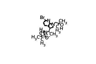 C[C@@H](N[S@@+]([O-])C(C)(C)C)c1cn(CC(C)(C)O)c2nc(Br)ccc12